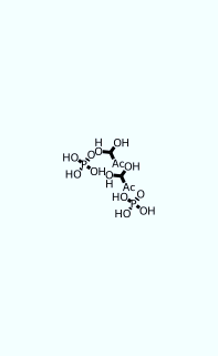 CC(=O)C(O)O.CC(=O)C(O)O.O=P(O)(O)O.O=P(O)(O)O